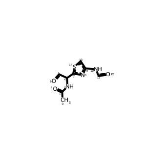 CC(=O)NC([C]=O)c1nc(NC=O)cs1